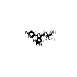 CC(C)(CO)NC(=O)c1nn(-c2ccc(F)nc2)c2c1C[C@H]1C[C@@H]21